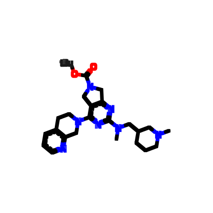 CN1CCCC(CN(C)c2nc3c(c(N4CCc5cccnc5C4)n2)CN(C(=O)OC(C)(C)C)C3)C1